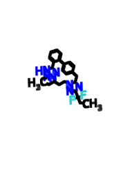 CCCCCn1nc(C(F)(F)CC)nc1Cc1ccc(-c2ccccc2-c2nnn[nH]2)cc1